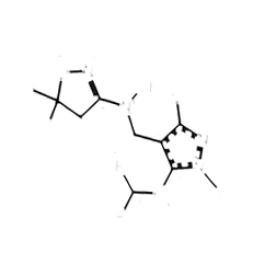 CCC1(C)CC(N(O)Cc2c(C(F)(F)F)nn(C)c2OC(F)F)=NO1